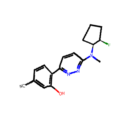 CN(c1ccc(-c2ccc(C#N)cc2O)nn1)[C@H]1CCC[C@H]1F